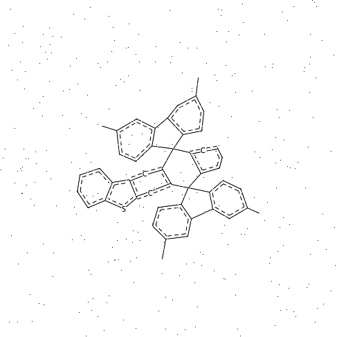 Cc1ccc2c(c1)-c1cc(C)ccc1C21c2ccccc2C2(c3ccc(C)cc3-c3cc(C)ccc32)c2cc3c(cc21)sc1ccccc13